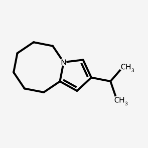 CC(C)c1cc2n(c1)CCCCCC2